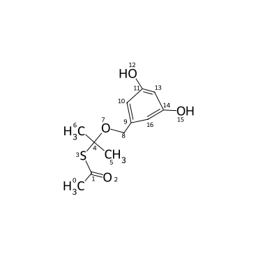 CC(=O)SC(C)(C)OCc1cc(O)cc(O)c1